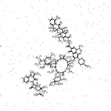 CC1COc2c(N3CCN(C)CC3)c(F)cc3c(=O)c(C(=O)O)cn1c23.CC[C@H]1OC(=O)[C@H](C)[C@@H](O[C@H]2C[C@@](C)(OC)[C@@H](O)[C@H](C)O2)[C@H](C)[C@@H](O[C@@H]2O[C@H](C)C[C@H](N(C)C)[C@H]2O)[C@](C)(O)C[C@@H](C)C(=O)[C@H](C)[C@@H](O)[C@]1(C)O.CN(C)[C@@H]1C(O)=C(C(N)=O)C(=O)[C@@]2(O)C(O)=C3C(=O)c4c(O)cccc4[C@@](C)(O)[C@H]3C[C@@H]12.Cc1onc(-c2ccccc2)c1C(=O)N[C@@H]1C(=O)N2[C@@H]1SC(C)(C)[C@@H]2C(=O)O